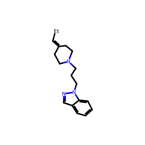 CCC=C1CCN(CCCn2ncc3ccccc32)CC1